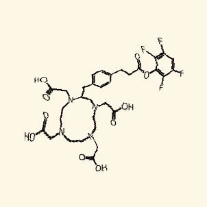 O=C(O)CN1CCN(CC(=O)O)CCN(CC(=O)O)C(Cc2ccc(CCC(=O)Oc3c(F)c(F)cc(F)c3F)cc2)CN(CC(=O)O)CC1